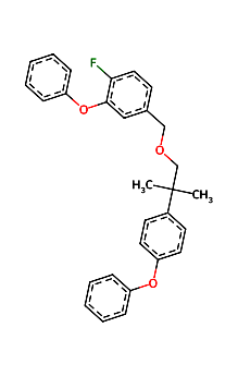 CC(C)(COCc1ccc(F)c(Oc2ccccc2)c1)c1ccc(Oc2ccccc2)cc1